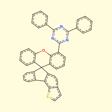 c1ccc(-c2nc(-c3ccccc3)nc(-c3cccc4c3Oc3ccccc3C43c4ccccc4-c4c3ccc3ccsc43)n2)cc1